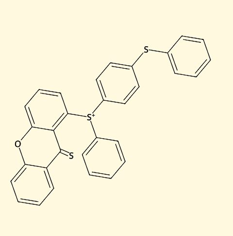 S=c1c2ccccc2oc2cccc([S+](c3ccccc3)c3ccc(Sc4ccccc4)cc3)c12